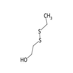 CCSSCCO